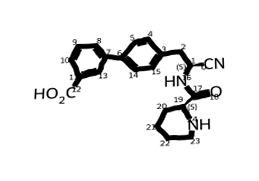 N#C[C@H](Cc1ccc(-c2cccc(C(=O)O)c2)cc1)NC(=O)[C@@H]1CCCCN1